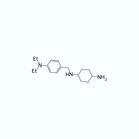 CCN(CC)c1ccc(CNC2CCC(N)CC2)cc1